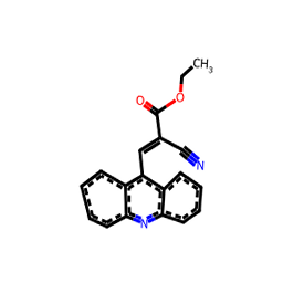 CCOC(=O)C(C#N)=Cc1c2ccccc2nc2ccccc12